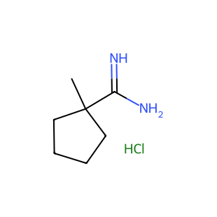 CC1(C(=N)N)CCCC1.Cl